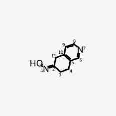 ON=C1CCc2cnccc2C1